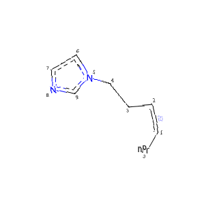 CCC/C=C\CCn1ccnc1